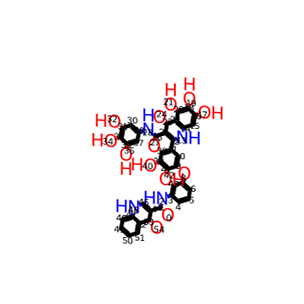 O=C(Nc1cccc(Oc2cc(-c3[nH]c4cc(O)c(O)c(O)c4c(=O)c3C(=O)Nc3cc(O)c(O)c(O)c3)cc(O)c2O)c1)c1c[nH]c2ccccc2c1=O